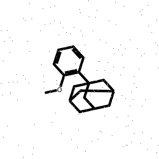 COc1ccc[c]c1C12CC3CC(CC(C3)C1)C2